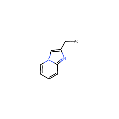 CC(=O)Cc1cn2ccccc2n1